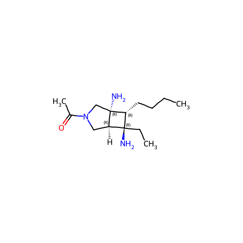 CCCC[C@@H]1[C@](N)(CC)[C@H]2CN(C(C)=O)C[C@@]12N